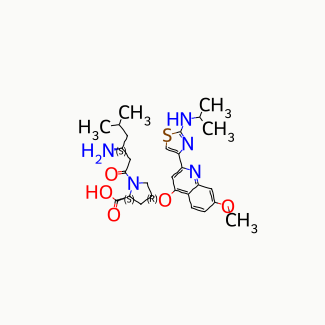 COc1ccc2c(O[C@@H]3C[C@@H](C(=O)O)N(C(=O)C[C@@H](N)CC(C)C)C3)cc(-c3csc(NC(C)C)n3)nc2c1